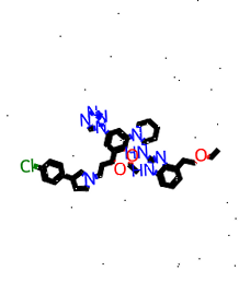 CCOCCc1cccc2[nH]c(NC3CCCCN3c3cc(-n4cnnn4)cc(C(=O)CCN4CCC(c5ccc(Cl)cc5)C4)c3OCC)nc12